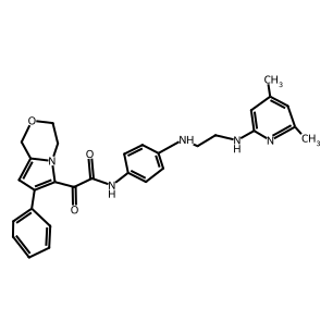 Cc1cc(C)nc(NCCNc2ccc(NC(=O)C(=O)c3c(-c4ccccc4)cc4n3CCOC4)cc2)c1